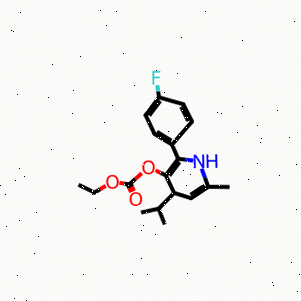 CCOC(=O)OC1=C(c2ccc(F)cc2)NC(C)=CC1C(C)C